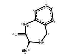 CC[C@H](C)C1NCc2ccncc2NC1=O